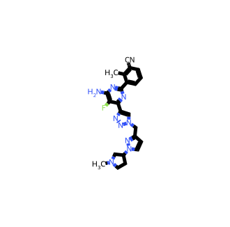 Cc1c(C#N)cccc1-c1nc(N)c(F)c(-c2cn(Cc3ccn(C4CCN(C)C4)n3)nn2)n1